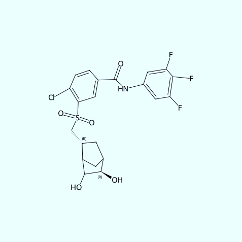 O=C(Nc1cc(F)c(F)c(F)c1)c1ccc(Cl)c(S(=O)(=O)C[C@@H]2CC3CC2C(O)[C@@H]3O)c1